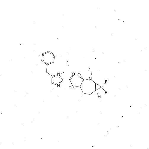 CN1C(=O)[C@@H](NC(=O)c2ncn(Cc3ccccc3)n2)CC[C@H]2C1C2(F)F